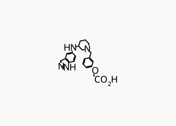 O=C(O)COc1cccc(CN2CCCC(Nc3ccc4[nH]ncc4c3)C2)c1